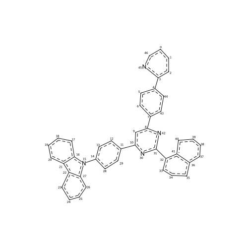 c1ccc(-c2ccc(-c3cc(-c4ccc(-n5c6ccccc6c6ccccc65)cc4)nc(-c4cccc5ccccc45)n3)cc2)nc1